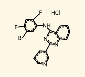 Cl.Fc1cc(F)c(Nc2nc(-c3cccnc3)nc3ccccc23)cc1Br